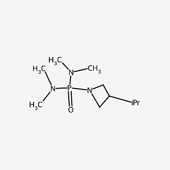 CC(C)C1CN(P(=O)(N(C)C)N(C)C)C1